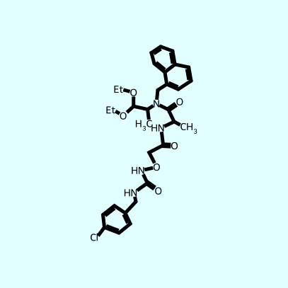 CCOC(OCC)C(C)N(Cc1cccc2ccccc12)C(=O)C(C)NC(=O)CONC(=O)NCc1ccc(Cl)cc1